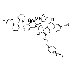 COc1ccccc1-c1nccc(COc2ccccc2CC(Oc2nsc3cnc(-c4cccc(C#N)c4)c(-c4ccc(OCCN5CCN(C)CC5)c(Cl)c4C)c23)C(=O)O)n1